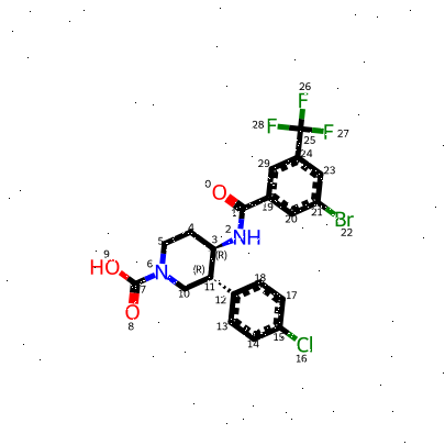 O=C(N[C@@H]1CCN(C(=O)O)C[C@H]1c1ccc(Cl)cc1)c1cc(Br)cc(C(F)(F)F)c1